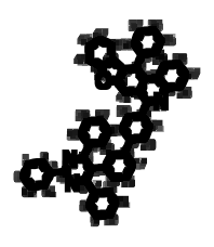 c1ccc(-c2nc(-c3ccccc3)c(-c3cccc(-c4ccc(-c5nc6ccccc6c6c(-c7ccccc7)c7c(cc56)oc5ccccc57)cc4)c3)c(-c3ccccc3)n2)cc1